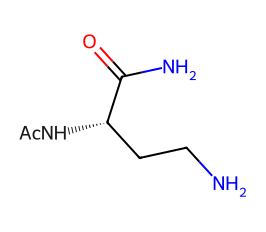 CC(=O)N[C@@H](CCN)C(N)=O